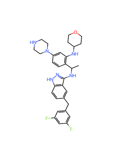 CC(Nc1n[nH]c2ccc(Cc3cc(F)cc(F)c3)cc12)c1ccc(N2CCNCC2)cc1NC1CCOCC1